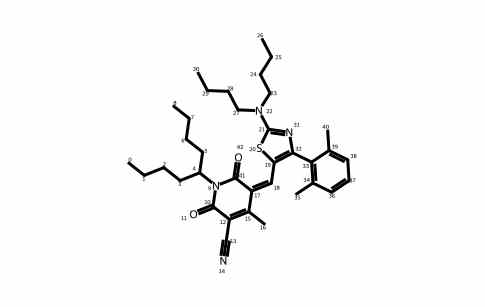 CCCCC(CCCC)N1C(=O)C(C#N)=C(C)/C(=C/c2sc(N(CCCC)CCCC)nc2-c2c(C)cccc2C)C1=O